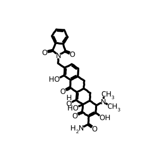 CN(C)C1C(O)=C(C(N)=O)C(=O)C2(O)C(O)=C3C(=O)c4c(ccc(CN5C(=O)c6ccccc6C5=O)c4O)CC3CC12